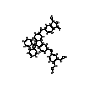 C=C1OC(=O)c2cc(Oc3ccc4c(c3)-c3cc(Oc5ccc(COC)c(C=O)c5)ccc3C4(c3ccccc3)c3ccccc3)ccc21